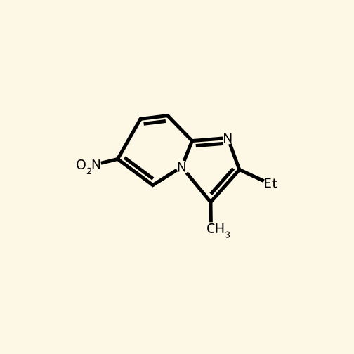 CCc1nc2ccc([N+](=O)[O-])cn2c1C